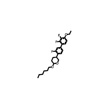 CCCCCCOC1CCC(c2ccc(-c3ccc(OCC)c(F)c3F)cc2F)CO1